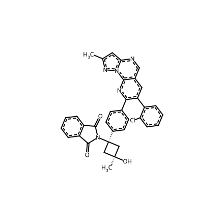 Cc1cc2ncc3cc(-c4ccccc4Cl)c(-c4ccc([C@]5(N6C(=O)c7ccccc7C6=O)C[C@@](C)(O)C5)cc4)nc3n2n1